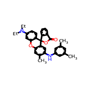 CCN(CC)c1ccc2c(c1)Oc1cc(C)c(Nc3cc(C)cc(C)c3)cc1C21OC(=O)c2ccccc21